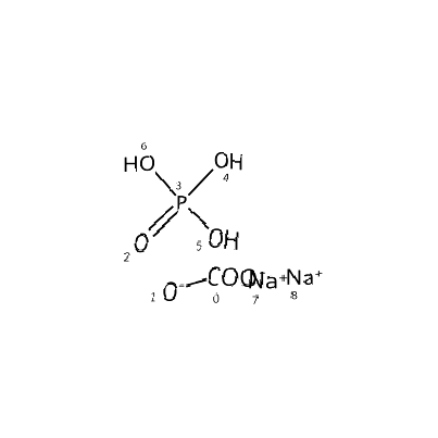 O=C([O-])[O-].O=P(O)(O)O.[Na+].[Na+]